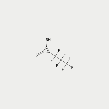 FC(F)(F)C(F)(F)C(F)(F)c1c(S)c1=S